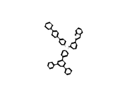 c1ccc(-c2ccc(-c3ccc(N(c4ccc(-c5cc(-c6ccccc6)cc(-c6ccccc6)c5)cc4)c4cccc(-c5cc6ccccc6o5)c4)cc3)cc2)cc1